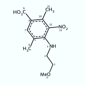 COCCNc1c(C)cc(C(=O)O)c(C)c1[N+](=O)[O-]